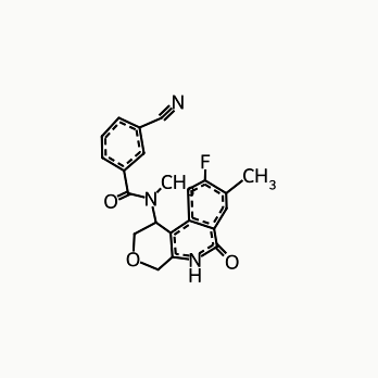 Cc1cc2c(=O)[nH]c3c(c2cc1F)C(N(C)C(=O)c1cccc(C#N)c1)COC3